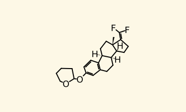 C[C@]12CC[C@@H]3c4ccc(OC5CCCCO5)cc4CC[C@@H]3[C@@H]1CCC2=C(F)F